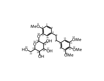 COc1ccc(CCc2cc(OC)c(OC)c(OC)c2)cc1OC1OC(CO)C(O)C(O)C1O